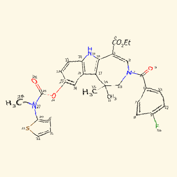 CCOC(=O)C1=CN(C(=O)c2ccc(F)cc2)CC(C)(C)c2c1[nH]c1ccc(OC(=O)N(C)c3cccs3)cc21